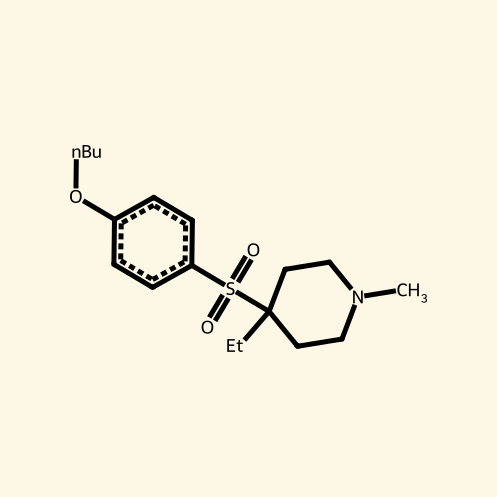 [CH2]CC1(S(=O)(=O)c2ccc(OCCCC)cc2)CCN(C)CC1